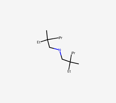 CCC(C)(C[N]CC(C)(CC)C(C)C)C(C)C